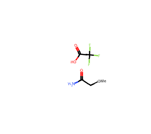 COCC(N)=O.O=C(O)C(F)(F)F